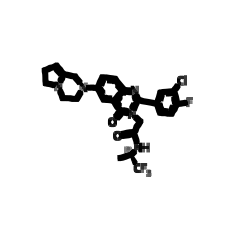 C[C@@H](NC(=O)Cn1c(-c2ccc(F)c(Cl)c2)nc2ccc(N3CCN4CCC=C4C3)cc2c1=O)C(F)(F)F